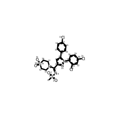 CS(=O)(=O)N=C(c1cc(-c2ccc(Cl)cc2)n(-c2ccc(Cl)cc2Cl)n1)N1CCS(=O)(=O)CC1